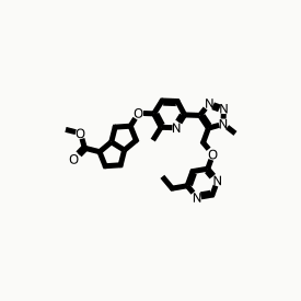 CCc1cc(OCc2c(-c3ccc(OC4CC5CCC(C(=O)OC)C5C4)c(C)n3)nnn2C)ncn1